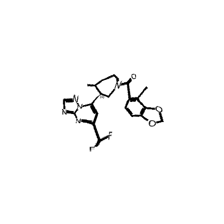 Cc1c(C(=O)N2CCC(C)[C@H](c3cc(C(F)F)nc4ncnn34)C2)ccc2c1OCO2